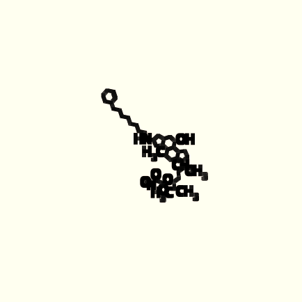 CC(C)C(CCC(C)C1CCC2C3C(O)CC4CC(NCCCCCCCCC5C=CCCC5)CC4(C)C3CCC12C)OC(=O)C(=O)N=O